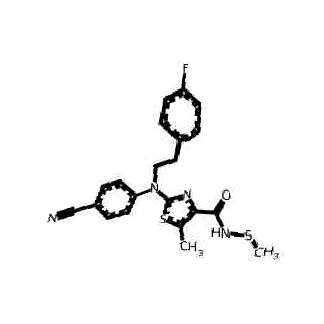 CSNC(=O)c1nc(N(CCc2ccc(F)cc2)c2ccc(C#N)cc2)sc1C